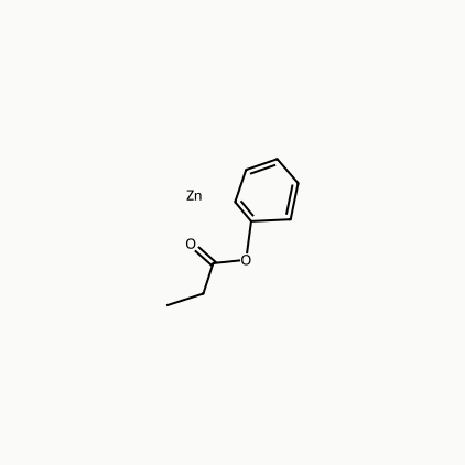 CCC(=O)Oc1ccccc1.[Zn]